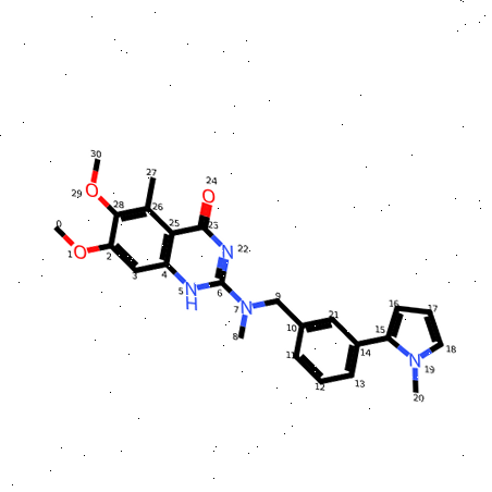 COc1cc2[nH]c(N(C)Cc3cccc(-c4cccn4C)c3)nc(=O)c2c(C)c1OC